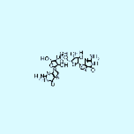 Nc1nc2c(ncn2[C@@H]2O[C@H](COP(=O)(O)O[C@H]3[C@@H](O)[C@H](n4cnc5c(=O)[nH]c(N)nc54)O[C@@H]3CO)[C@@H](O)[C@H]2O)c(=O)[nH]1